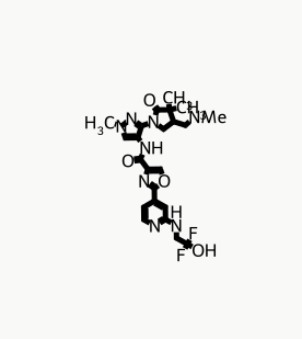 CNCC1CN(c2nn(C)cc2NC(=O)c2coc(-c3ccnc(NCC(O)(F)F)c3)n2)C(=O)C1(C)C